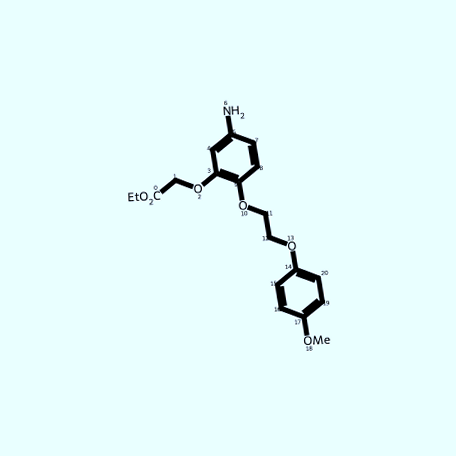 CCOC(=O)COc1cc(N)ccc1OCCOc1ccc(OC)cc1